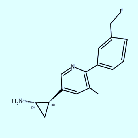 Cc1cc([C@H]2C[C@@H]2N)cnc1-c1cccc(CF)c1